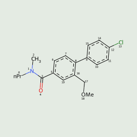 CCCN(C)C(=O)c1ccc(-c2ccc(Cl)cc2)c(COC)c1